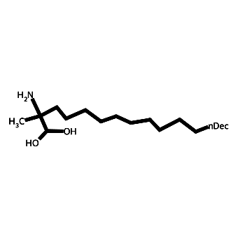 CCCCCCCCCCCCCCCCCCCCC(C)(N)C(O)O